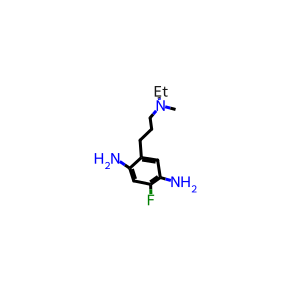 CCN(C)CCCc1cc(N)c(F)cc1N